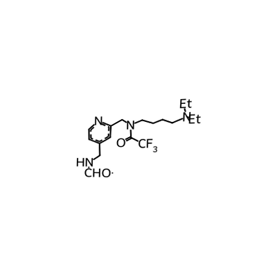 CCN(CC)CCCCN(Cc1cc(CN[C]=O)ccn1)C(=O)C(F)(F)F